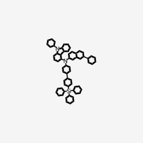 c1ccc(-c2ccc3ccc(N(c4ccc(-c5ccc([Si](c6ccccc6)(c6ccccc6)c6ccccc6)cc5)cc4)c4cccc5c4c4ccccc4n5-c4ccccc4)cc3c2)cc1